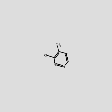 Cc1[c]cnnc1Cl